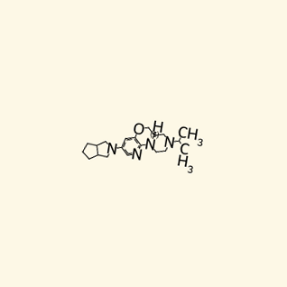 CC(C)N1CCN2c3ncc(N4CC5CCCC5C4)cc3OC[C@@H]2C1